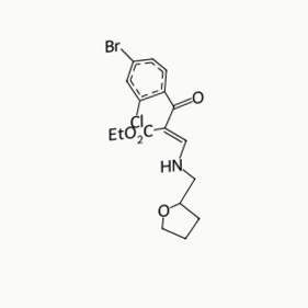 CCOC(=O)/C(=C\NCC1CCCO1)C(=O)c1ccc(Br)cc1Cl